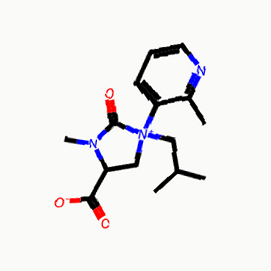 Cc1ncccc1[N+]1(CC(C)C)CC(C(=O)[O-])N(C)C1=O